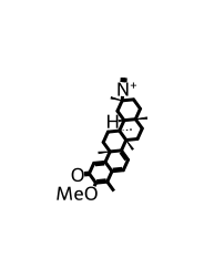 C#[N+][C@]1(C)CC[C@]2(C)CC[C@]3(C)C4=CC=C5C(=CC(=O)C(OC)=C5C)[C@]4(C)CC[C@@]3(C)[C@@H]2C1